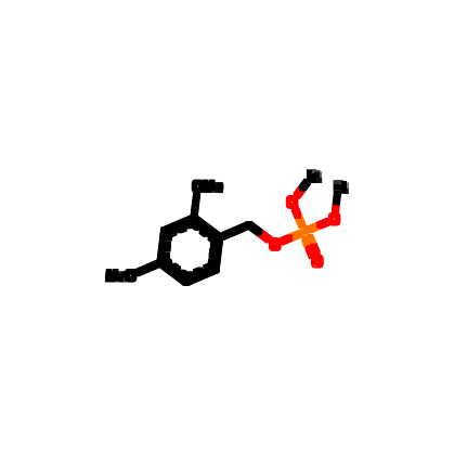 CCOP(=O)(OCC)OCc1ccc(OC)cc1OC